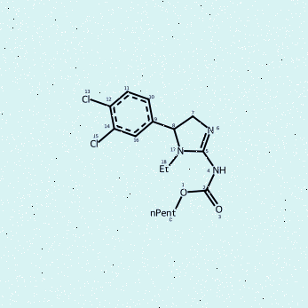 CCCCCOC(=O)NC1=NCC(c2ccc(Cl)c(Cl)c2)N1CC